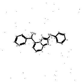 OC(c1cccnc1)c1cccc2nc(Nc3ccccc3)nn12